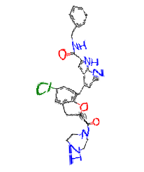 O=C(NCc1ccccc1)c1cc2c(-c3cc(Cl)cc4c3O[C@@H](C(=O)N3CCNCC3)C4)ccnc2[nH]1